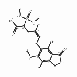 COc1c(C)c2c(c(O)c1CC=C(C)CC(C(=O)O)P(=O)(OC)OC)C(=O)OC2